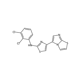 Clc1cccc(Nc2nc(-c3cnc4sccn34)cs2)c1Cl